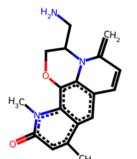 C=C1C=Cc2cc3c(C)cc(=O)n(C)c3c3c2N1C(CN)CO3